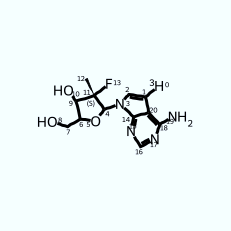 [3H]c1cn(C2OC(CO)C(O)[C@]2(C)F)c2ncnc(N)c12